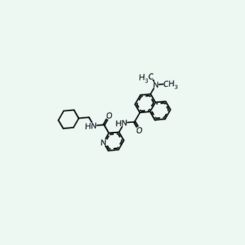 CN(C)c1ccc(C(=O)Nc2cccnc2C(=O)NCC2CCCCC2)c2ccccc12